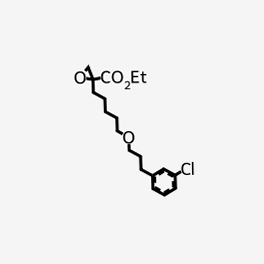 CCOC(=O)C1(CCCCCOCCCc2cccc(Cl)c2)CO1